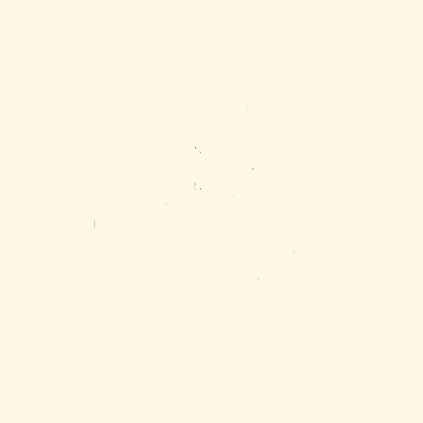 CCC1(CCOS(C)(=O)=O)C(=O)N2CC=CC(C)(C(=O)O)N2C1=O